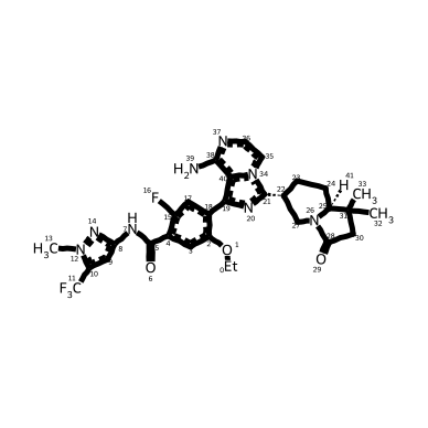 CCOc1cc(C(=O)Nc2cc(C(F)(F)F)n(C)n2)c(F)cc1-c1nc([C@@H]2CC[C@@H]3N(C2)C(=O)CC3(C)C)n2ccnc(N)c12